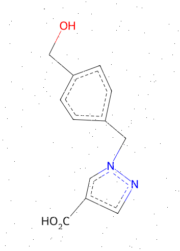 O=C(O)c1cnn(Cc2ccc(CO)cc2)c1